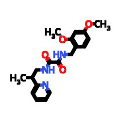 COc1ccc(CNC(=O)C(=O)NCC(C)c2ccccn2)c(OC)c1